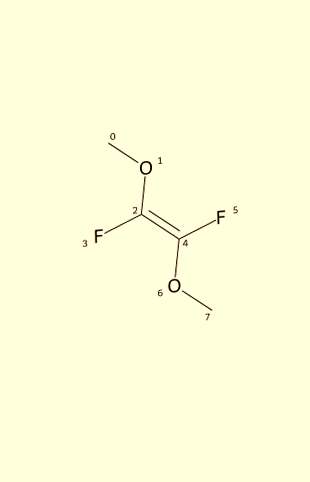 CO/C(F)=C(\F)OC